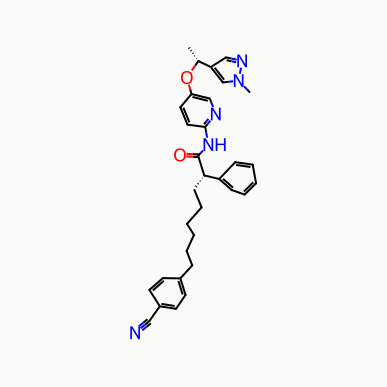 C[C@@H](Oc1ccc(NC(=O)[C@@H](CCCCCCc2ccc(C#N)cc2)c2ccccc2)nc1)c1cnn(C)c1